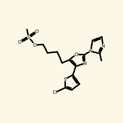 Cc1nccn1-c1nc(-c2ccc(Cl)s2)c(CCCCOS(C)(=O)=O)o1